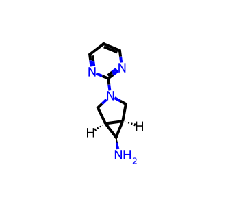 N[C@H]1[C@H]2CN(c3ncccn3)C[C@@H]12